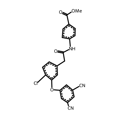 COC(=O)c1ccc(NC(=O)Cc2ccc(Cl)c(Oc3cc(C#N)cc(C#N)c3)c2)cc1